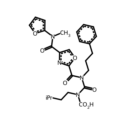 CC(C)CCN(C(=O)O)C(=O)N(CCCc1ccccc1)C(=O)c1nc(C(=O)N(C)c2ccco2)co1